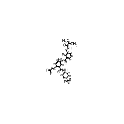 C=C(C)C(=O)NCc1ccc(F)c(C(=O)Nc2ccc(OCC(F)F)c(C(=O)N[C@H]3CC[C@H](C(F)(F)F)CC3)c2)c1F